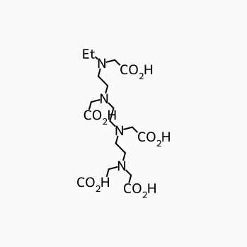 CCN(CCN(CCN(CCN(CC(=O)O)CC(=O)O)CC(=O)O)CC(=O)O)CC(=O)O